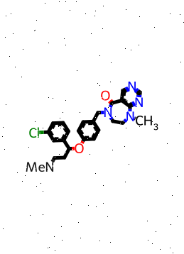 CNCCC(Oc1ccc(CN2CCN(C)c3ncncc3C2=O)cc1)c1cccc(Cl)c1